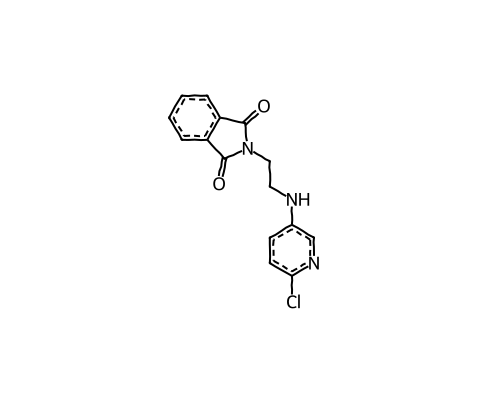 O=C1c2ccccc2C(=O)N1CCNc1ccc(Cl)nc1